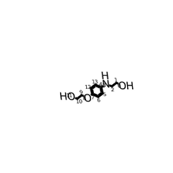 OCCNc1ccc(OCCO)cc1